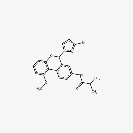 COc1cccc2c1-c1ccc(NC(=O)C(C)C)cc1C(c1ccc(Br)s1)O2